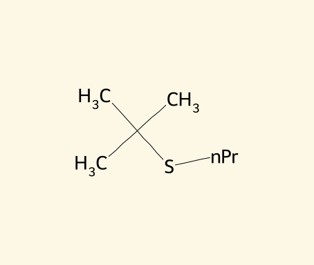 CCCSC(C)(C)C